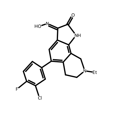 CCN1CCc2c(-c3ccc(F)c(Cl)c3)cc3c(c2C1)NC(=O)/C3=N/O